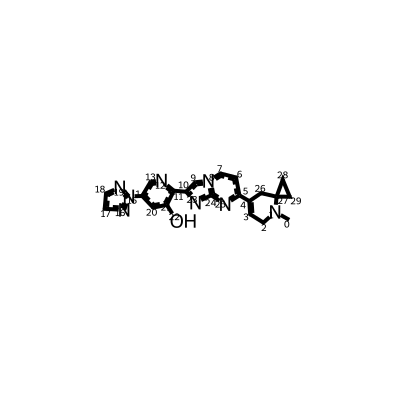 CN1CC=C(c2ccn3cc(-c4ncc(-n5nccn5)cc4O)nc3n2)CC12CC2